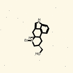 CCN1C[C@H](CO)CC2c3cccc4[nH]cc(c34)C[C@H]21